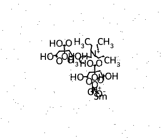 CCC[N+](CCC)(CCC)CCC.O=C(O)CC(O)(CC(=O)O)C(=O)O.O=C(O)CC(O)(CC(=O)O)C(=O)O.O=[N+]([O-])[O-].[Sm]